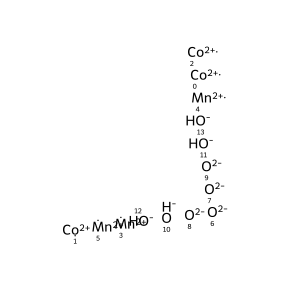 [Co+2].[Co+2].[Co+2].[Mn+2].[Mn+2].[Mn+2].[O-2].[O-2].[O-2].[O-2].[OH-].[OH-].[OH-].[OH-]